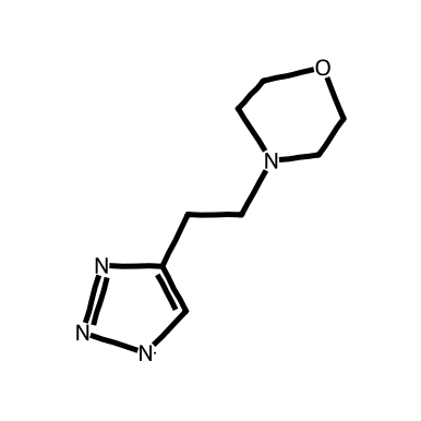 C1=C(CCN2CCOCC2)N=N[N]1